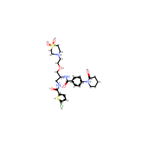 O=C(NC(CNC(=O)c1ccc(Cl)s1)COCCN1CCS(=O)(=O)CC1)c1ccc(N2CCCCC2=O)cc1